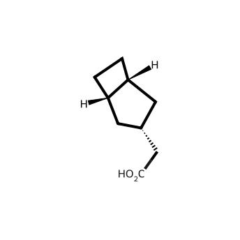 O=C(O)C[C@H]1C[C@H]2CC[C@H]2C1